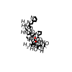 CC(C)C[C@H](NC(=O)[C@H](C)NC(=O)[C@@H](N)Cc1cccnc1)C(=O)N[C@@H](CCCCN)C(=O)N1CCC[C@H]1C(=O)N[C@@H](CC(N)=O)C(=O)N[C@H](C(=O)N[C@@H](C)C(N)=O)[C@@H](C)O